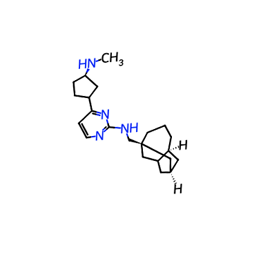 CN[C@@H]1CCC(c2ccnc(NC[C@]34CCC[C@H]5C[C@@H](CC5C3)C4)n2)C1